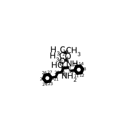 CC(C)(C)OC(=O)N[C@H](Cc1ccccc1)[C@@H](O)C(N)CCc1ccccc1